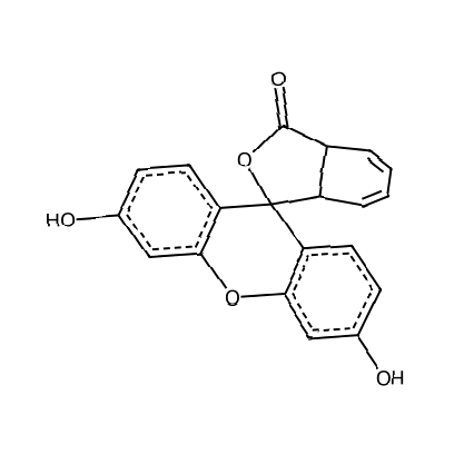 O=C1OC2(c3ccc(O)cc3Oc3cc(O)ccc32)C2C=CC=CC12